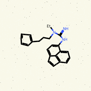 CCN(CCCc1ccccc1)C(=N)Nc1ccc2c3c(cccc13)C=C2